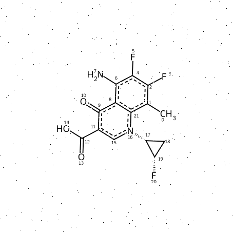 Cc1c(F)c(F)c(N)c2c(=O)c(C(=O)O)cn([C@@H]3C[C@@H]3F)c12